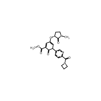 COC(=O)C1=CC(O[C@H]2CCN(C)C2=O)=CC(c2ccc(C(=O)N3CCC3)nc2)C1=O